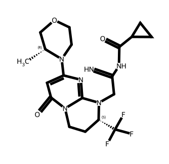 C[C@@H]1COCCN1c1cc(=O)n2c(n1)N(CC(=N)NC(=O)C1CC1)[C@H](C(F)(F)F)CC2